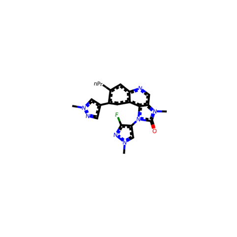 CCCc1cc2ncc3c(c2cc1-c1cnn(C)c1)n(-c1cn(C)nc1F)c(=O)n3C